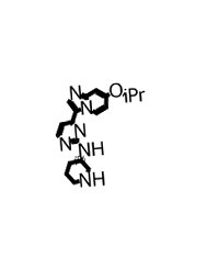 CC(C)Oc1ccn2c(-c3ccnc(N[C@@H]4CCCNC4)n3)cnc2c1